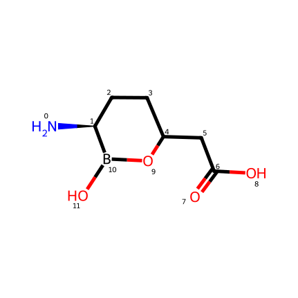 N[C@H]1CCC(CC(=O)O)OB1O